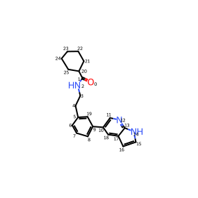 O=C(NCCc1cccc(-c2cnc3[nH]ccc3c2)c1)C1CCCCC1